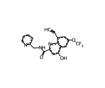 C#Cc1cc(OC(F)(F)F)cc2c(O)cc(C(=O)NCc3ccccn3)nc12